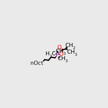 C=C(C)C(=O)OP(C)(C)(C)CCCCCCCCCCCC